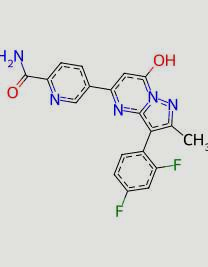 Cc1nn2c(O)cc(-c3ccc(C(N)=O)nc3)nc2c1-c1ccc(F)cc1F